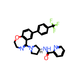 O=C(N[C@@H]1CCN(C2=NCCOc3ccc(-c4ccc(C(F)(F)F)cc4)cc32)C1)c1ccccn1